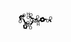 CC(=O)OCc1ccc(NC(=O)[C@H](CCC(=O)O)NC(=O)CNC(=O)[C@@H]2CCCN2C(=O)CCN2C(=O)C=CC2=O)cc1